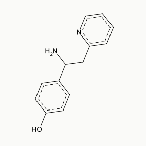 NC(Cc1ccccn1)c1ccc(O)cc1